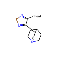 CCCCCc1nsnc1C1CN2CCC1CC2